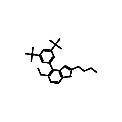 CCCCC1=Cc2c(ccc(CC)c2-c2cc([Si](C)(C)C)cc([Si](C)(C)C)c2)[CH]1